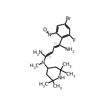 CN(/C(N)=C/C=C(\N)c1c(F)cc(Br)cc1N=O)C1CC(C)(C)NC(C)(C)C1